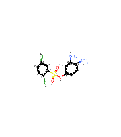 Nc1ccc(OS(=O)(=O)c2cc(Cl)ccc2Cl)cc1N